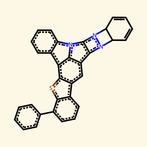 C1=CC2C(C=C1)n1c3c(c4cc5c6cccc(-c7ccccc7)c6sc5c5c6ccccc6n3c45)n12